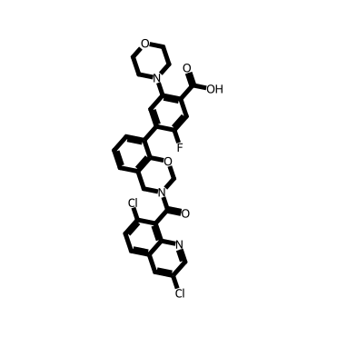 O=C(O)c1cc(F)c(-c2cccc3c2OCN(C(=O)c2c(Cl)ccc4cc(Cl)cnc24)C3)cc1N1CCOCC1